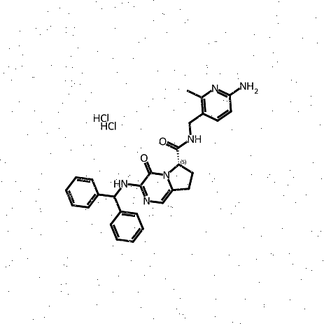 Cc1nc(N)ccc1CNC(=O)[C@@H]1CCc2cnc(NC(c3ccccc3)c3ccccc3)c(=O)n21.Cl.Cl